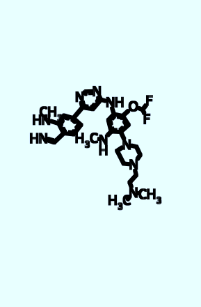 CNc1cc(-c2cc(Nc3cc(NC)c(N4CCN(CCN(C)C)CC4)cc3OC(F)F)ncn2)ccc1C=N